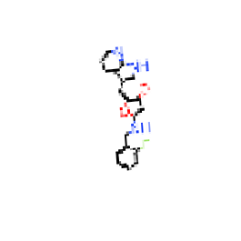 O=C1C=C(NCc2ccccc2F)O/C1=C/c1c[nH]c2ncccc12